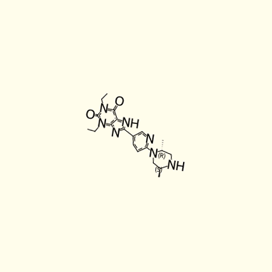 CCn1c(=O)c2[nH]c(-c3ccc(N4C[C@H](C)NC[C@H]4C)nc3)nc2n(CC)c1=O